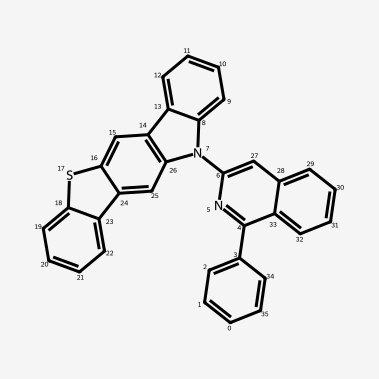 c1ccc(-c2nc(-n3c4ccccc4c4cc5sc6ccccc6c5cc43)cc3ccccc23)cc1